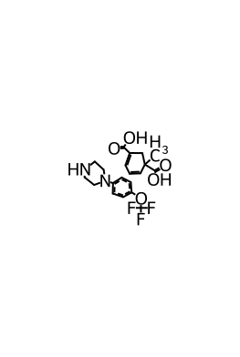 CC1(C(=O)O)C=CC=C(C(=O)O)C1.FC(F)(F)Oc1ccc(N2CCNCC2)cc1